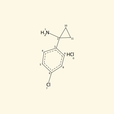 Cl.NC1(c2ccc(Cl)cc2)CC1